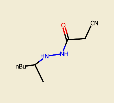 CCCCC(C)NNC(=O)CC#N